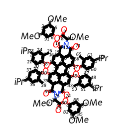 COc1cc(OC)cc(OC(=O)C(OC)N2C(=O)c3cc(Oc4ccc(C(C)C)cc4C)c4c5c(Oc6ccc(C(C)C)cc6C)cc6c7c(cc(Oc8ccc(C(C)C)cc8C)c(c8c(Oc9ccc(C(C)C)cc9C)cc(c3c48)C2=O)c75)C(=O)N(C(OC)C(=O)Oc2cc(OC)cc(OC)c2)C6=O)c1